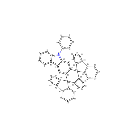 c1ccc(-n2c3ccccc3c3cc4c(cc32)C2(c3ccccc3-c3ccccc32)c2ccccc2C42c3ccccc3-c3ccccc32)cc1